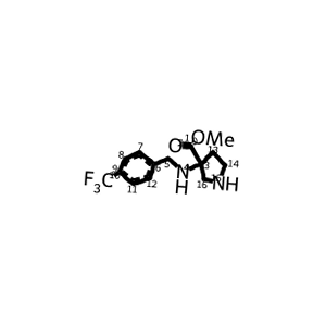 COC(=O)C1(NCc2ccc(C(F)(F)F)cc2)CCNC1